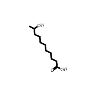 CC(O)CCCCCCCCC(=O)O